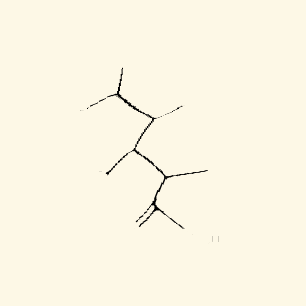 O=C(C(F)C(F)C(F)C(F)F)S(=O)(=O)O